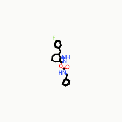 O=C(NCc1ccccc1)Oc1n[nH]c2c1CCCCC2Cc1ccc(F)cc1